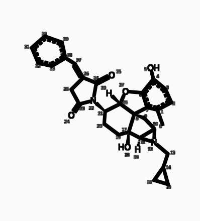 Cc1ccc(O)c2c1[C@]13CC4[C@@H](N4CC4CC4)[C@]1(O)CC[C@@H](N1C(=O)C/C(=C\c4ccccc4)C1=O)[C@@H]3O2